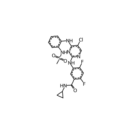 CS(=O)(=O)Nc1ccccc1Nc1nc(Nc2cc(C(=O)NC3CC3)c(F)cc2F)ncc1Cl